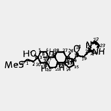 CSCC[C@@]1(O)CC[C@@]2(C)[C@@H](CC[C@H]3[C@H]4CC[C@H](C(=O)Cc5ncc[nH]5)[C@@]4(C)CC[C@@H]32)C1